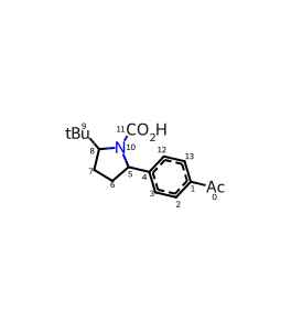 CC(=O)c1ccc(C2CCC(C(C)(C)C)N2C(=O)O)cc1